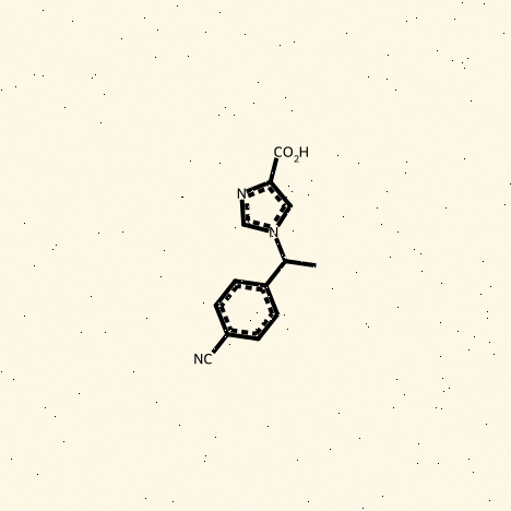 CC(c1ccc(C#N)cc1)n1cnc(C(=O)O)c1